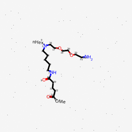 CCCCCCN(CCCCCNC(=O)CCCC(=O)OC)CCOCCOCCN